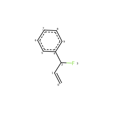 C=CC(F)c1cc[c]cc1